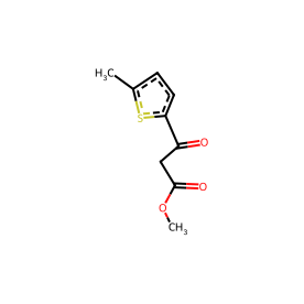 COC(=O)CC(=O)c1ccc(C)s1